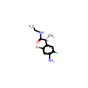 C[C@@H](C(=O)NCC(F)(F)F)c1cc(F)c(N)cc1Br